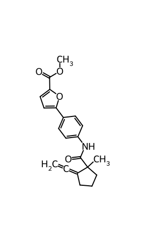 C=C=C1CCCC1(C)C(=O)Nc1ccc(-c2ccc(C(=O)OC)o2)cc1